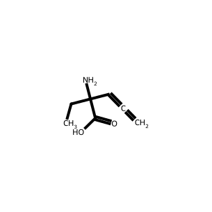 C=C=CC(N)(CC)C(=O)O